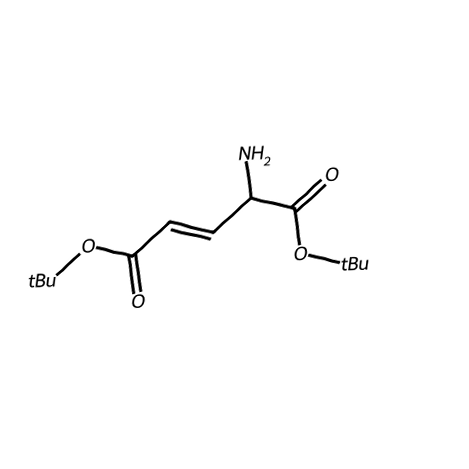 CC(C)(C)OC(=O)C=CC(N)C(=O)OC(C)(C)C